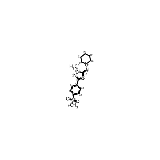 Cn1nc(-c2ccc(S(C)(=O)=O)cc2)s/c1=N/N1CCCCC1